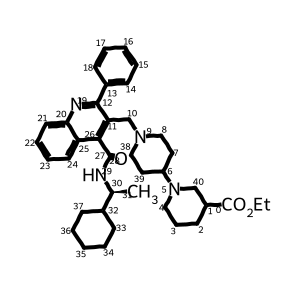 CCOC(=O)C1CCCN(C2CCN(Cc3c(-c4ccccc4)nc4ccccc4c3C(=O)N[C@@H](C)C3CCCCC3)CC2)C1